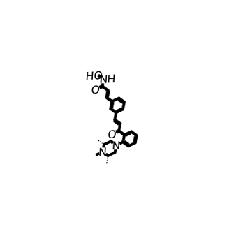 C[C@@H]1CN(c2ccccc2C(=O)/C=C/c2cccc(/C=C/C(=O)NO)c2)C[C@H](C)N1C